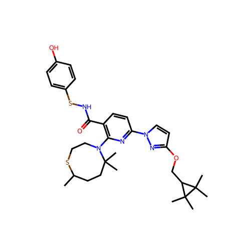 CC1CCC(C)(C)N(c2nc(-n3ccc(OCC4C(C)(C)C4(C)C)n3)ccc2C(=O)NSc2ccc(O)cc2)CCS1